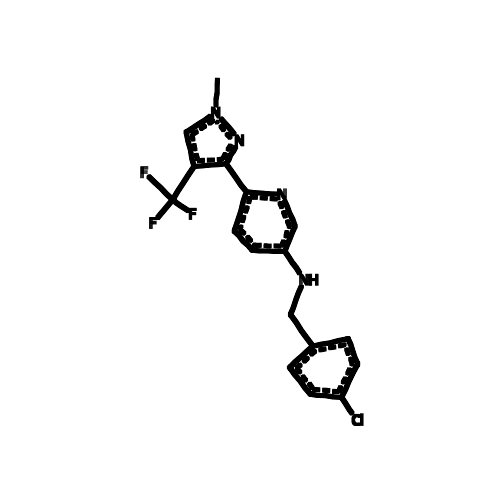 Cn1cc(C(F)(F)F)c(-c2ccc(NCc3ccc(Cl)cc3)cn2)n1